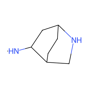 [NH]C1CC2CCC1CN2